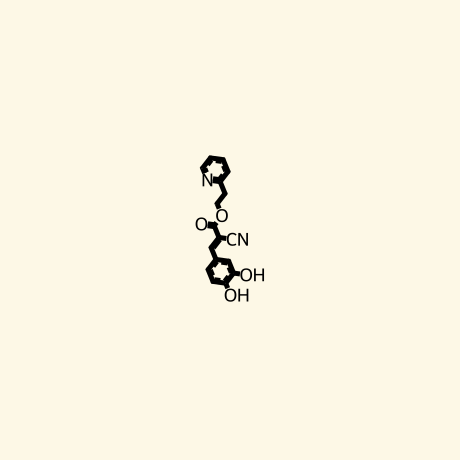 N#C/C(=C\c1ccc(O)c(O)c1)C(=O)OCCc1ccccn1